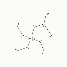 C[CH2][Hf]([CH2]C)([CH2]C)[CH2]C(C)C